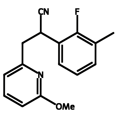 COc1cccc(CC(C#N)c2cccc(C)c2F)n1